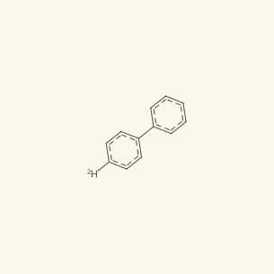 [2H]c1ccc(-c2ccccc2)cc1